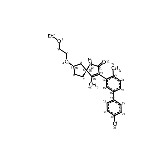 CCOCCO[C@@H]1CC[C@@]2(C1)NC(=O)C(c1cc(-c3ccc(Cl)cc3)ccc1C)=C2C